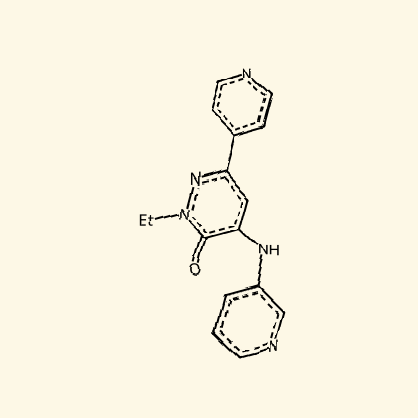 CCn1nc(-c2ccncc2)cc(Nc2cccnc2)c1=O